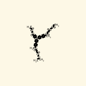 C=CC(=C)OCCOC(=O)CCC(=O)OC(C)c1ccc(-c2ccc(N(c3ccc(C(=O)OCCOC(=O)C=C)cc3)c3ccc(-c4ccc(C(C)OC(=O)CCC(=O)OCCOC(=O)C=C)cc4)cc3)cc2)cc1